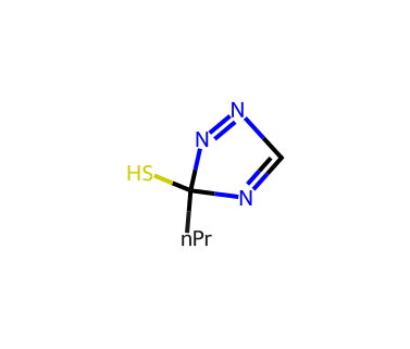 CCCC1(S)N=CN=N1